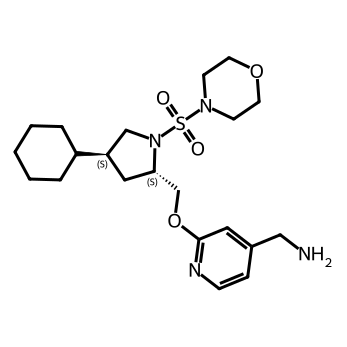 NCc1ccnc(OC[C@@H]2C[C@@H](C3CCCCC3)CN2S(=O)(=O)N2CCOCC2)c1